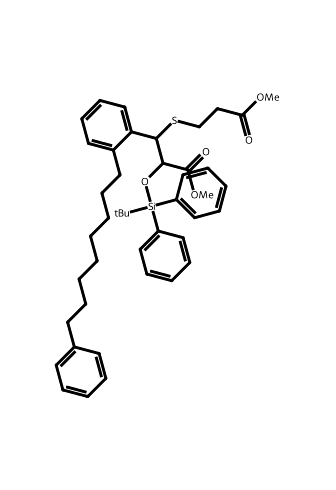 COC(=O)CCSC(c1ccccc1CCCCCCCCc1ccccc1)C(O[Si](c1ccccc1)(c1ccccc1)C(C)(C)C)C(=O)OC